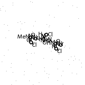 CNc1nc(=O)n(-c2ccc(C(C)Nc3nc(=O)n(-c4ccc(CNc5nc(=O)n(-c6cccc(C)n6)c6c7cc(Cl)ccc7n(C)c56)nc4)c4c5cc(Cl)ccc5n(C)c34)c(C)n2)c2c1oc1ccc(Cl)cc12